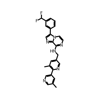 Cc1cncc(-c2ncc(CNc3nccn4c(-c5cccc(C(F)F)c5)cnc34)cc2C)c1